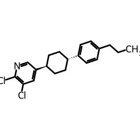 CCCc1ccc([C@H]2CC[C@H](c3cnc(Cl)c(Cl)c3)CC2)cc1